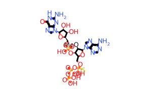 CO[C@@H]1[C@H](OP(=O)(O)OC[C@H]2O[C@@H](n3cnc4c(=O)[nH]c(N)nc43)[C@H](O)[C@@H]2O)C(COP(O)(=S)OP(=O)(O)OP(=O)(O)O)O[C@H]1n1cnc2c(N)ncnc21